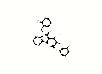 O=c1oc2c(c(O)c1Sc1ccccc1F)c(=O)n(Cc1ccccc1F)c1ccccc21